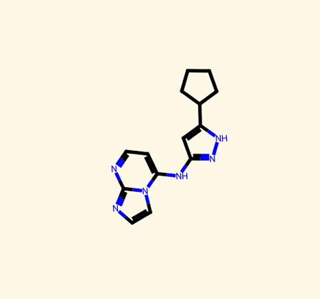 c1cc(Nc2cc(C3CCCC3)[nH]n2)n2ccnc2n1